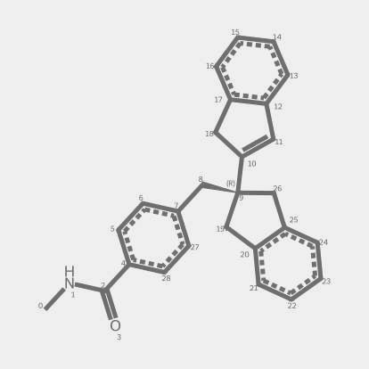 CNC(=O)c1ccc(C[C@]2(C3=Cc4ccccc4C3)[CH]c3ccccc3C2)cc1